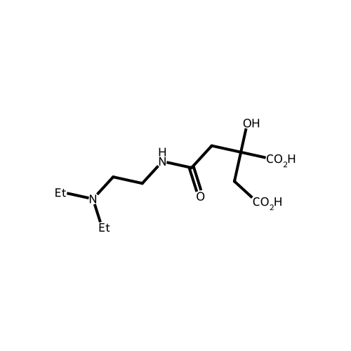 CCN(CC)CCNC(=O)CC(O)(CC(=O)O)C(=O)O